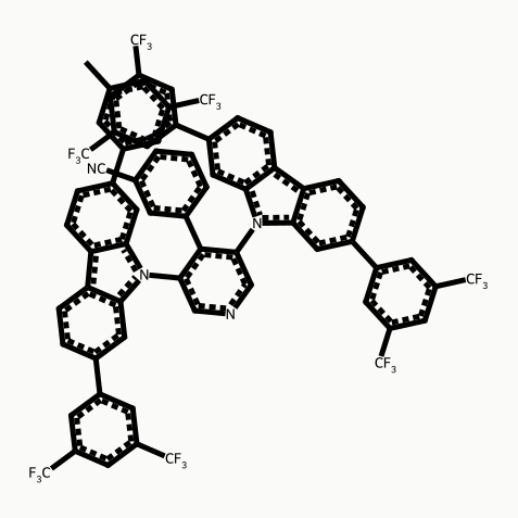 Cc1cc(-c2ccc3c4ccc(-c5cc(C(F)(F)F)cc(C(F)(F)F)c5)cc4n(-c4cncc(-n5c6cc(-c7cc(C(F)(F)F)cc(C(F)(F)F)c7)ccc6c6ccc(-c7cc(C(F)(F)F)cc(C(F)(F)F)c7)cc65)c4-c4cccc(C#N)c4)c3c2)cc(C(F)(F)F)c1